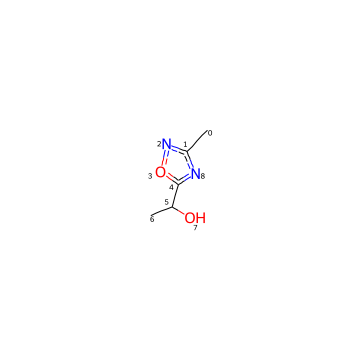 Cc1noc(C(C)O)n1